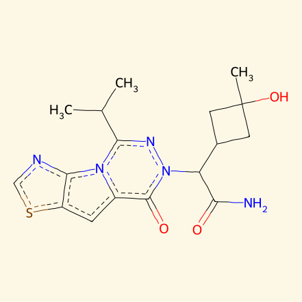 CC(C)c1nn(C(C(N)=O)C2CC(C)(O)C2)c(=O)c2cc3scnc3n12